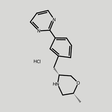 C[C@@H]1CN[C@H](Cc2cccc(-c3ncccn3)c2)CO1.Cl